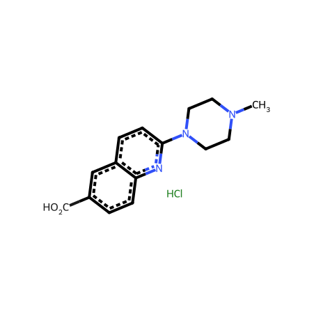 CN1CCN(c2ccc3cc(C(=O)O)ccc3n2)CC1.Cl